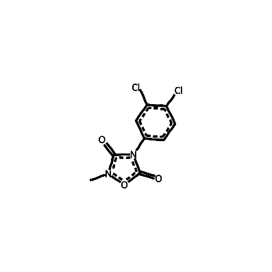 Cn1oc(=O)n(-c2ccc(Cl)c(Cl)c2)c1=O